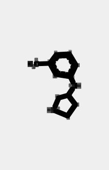 Cc1cccc(NC2CCNC2)c1